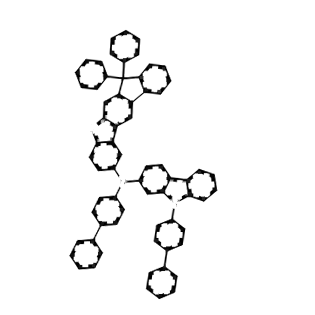 c1ccc(-c2ccc(N(c3ccc4oc5cc6c(cc5c4c3)-c3ccccc3C6(c3ccccc3)c3ccccc3)c3ccc4c5ccccc5n(-c5ccc(-c6ccccc6)cc5)c4c3)cc2)cc1